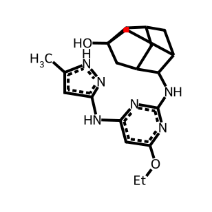 CCOc1cc(Nc2cc(C)[nH]n2)nc(NC2C3CC4CC2CC(O)(C4)C3)n1